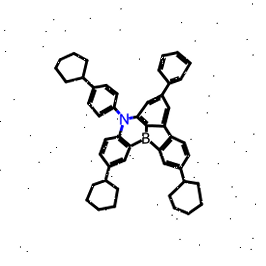 c1ccc(-c2cc3c4c(c2)N(c2ccc(C5CCCCC5)cc2)c2ccc(C5CCCCC5)cc2B4c2cc(C4CCCCC4)ccc2-3)cc1